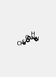 Clc1ccc(-c2ccc3c(c2)OCC[C@@H]3CNc2cccnc2)s1